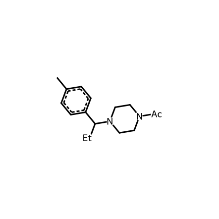 CCC(c1ccc(C)cc1)N1CCN(C(C)=O)CC1